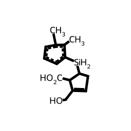 Cc1cccc([SiH2]C2CC=C(CO)C2C(=O)O)c1C